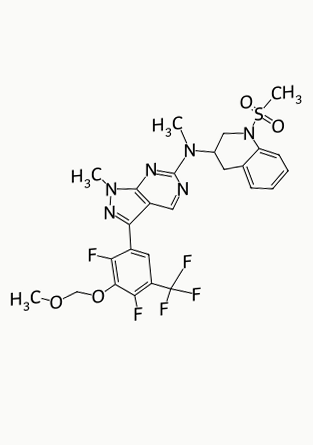 COCOc1c(F)c(-c2nn(C)c3nc(N(C)C4Cc5ccccc5N(S(C)(=O)=O)C4)ncc23)cc(C(F)(F)F)c1F